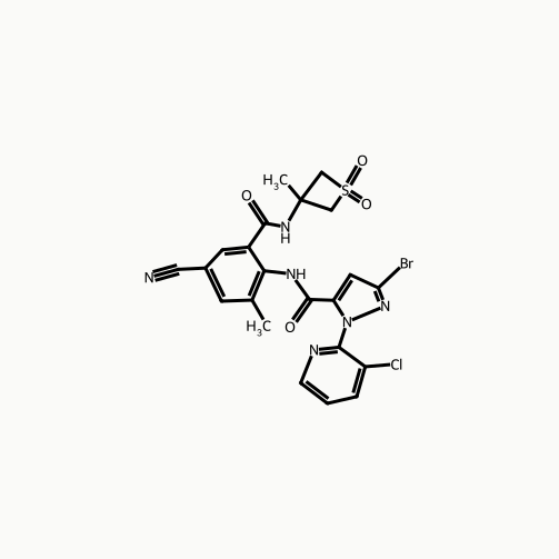 Cc1cc(C#N)cc(C(=O)NC2(C)CS(=O)(=O)C2)c1NC(=O)c1cc(Br)nn1-c1ncccc1Cl